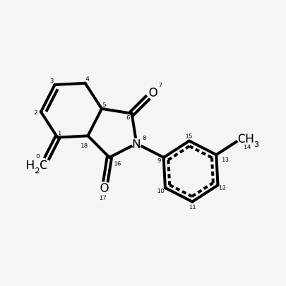 C=C1C=CCC2C(=O)N(c3cccc(C)c3)C(=O)C12